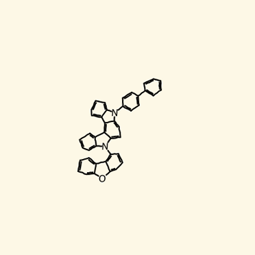 c1ccc(-c2ccc(-n3c4ccccc4c4c5c6ccccc6n(-c6cccc7oc8ccccc8c67)c5ccc43)cc2)cc1